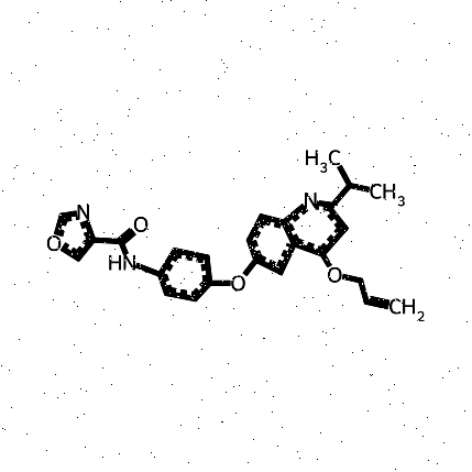 C=CCOc1cc(C(C)C)nc2ccc(Oc3ccc(NC(=O)c4cocn4)cc3)cc12